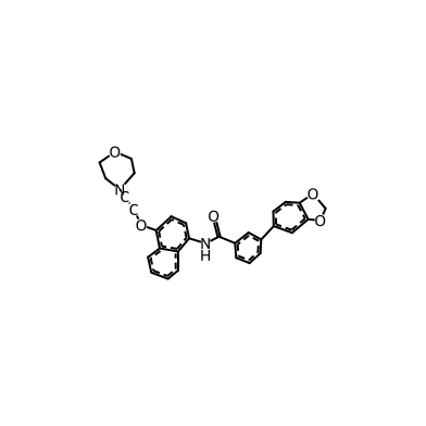 O=C(Nc1ccc(OCCN2CCOCC2)c2ccccc12)c1cccc(-c2ccc3c(c2)OCO3)c1